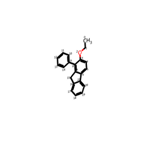 CCOc1ccc2c(c1-c1ccccc1)Cc1ccccc1-2